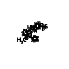 COc1ccnc(CSc2nc3cc(OC(F)F)ccc3[nH]2)c1OCc1ccccc1